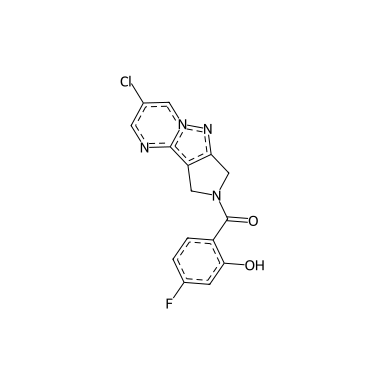 O=C(c1ccc(F)cc1O)N1Cc2nn3cc(Cl)cnc3c2C1